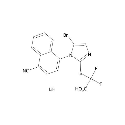 N#Cc1ccc(-n2c(Br)cnc2SC(F)(F)C(=O)O)c2ccccc12.[LiH]